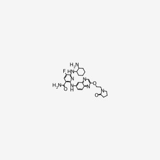 NC(=O)c1cc(F)c(NC2CCCCC2N)nc1Nc1ccc2nc(OCCN3CCCC3=O)cnc2c1